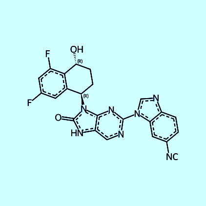 [C-]#[N+]c1ccc2ncn(-c3ncc4[nH]c(=O)n([C@@H]5CC[C@@H](O)c6c(F)cc(F)cc65)c4n3)c2c1